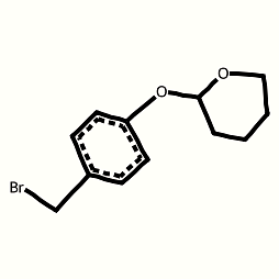 BrCc1ccc(OC2CCCCO2)cc1